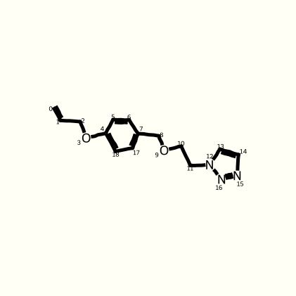 C=CCOc1ccc(COCCn2ccnn2)cc1